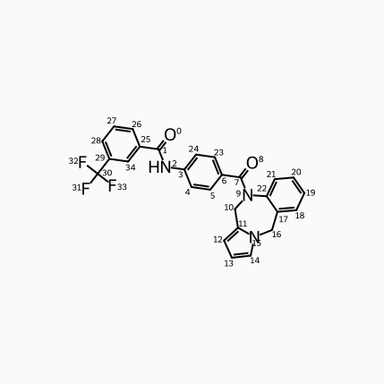 O=C(Nc1ccc(C(=O)N2Cc3cccn3Cc3ccccc32)cc1)c1cccc(C(F)(F)F)c1